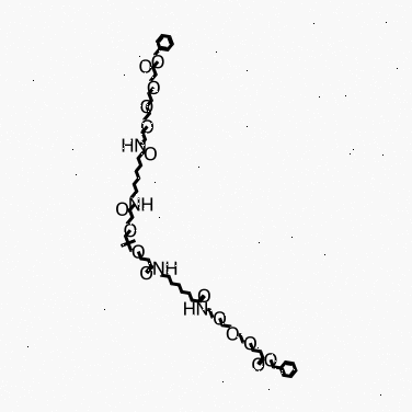 CC(C)(COCCC(=O)NCCCCCCCC(=O)NCCOCCOCCOCCC(=O)OCc1ccccc1)COCCC(=O)NCCCCCCCC(=O)NCCOCCOCCOCCC(=O)OCc1ccccc1